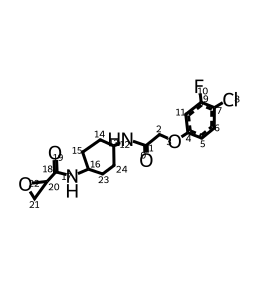 O=C(COc1ccc(Cl)c(F)c1)NC1CCC(NC(=O)C2CO2)CC1